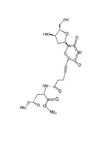 CC(C)(C)OC(=O)CC(NC(=O)CCC#Cc1cn([C@H]2C[C@@H](O)[C@@H](CO)O2)c(=O)[nH]c1=O)C(=O)OC(C)(C)C